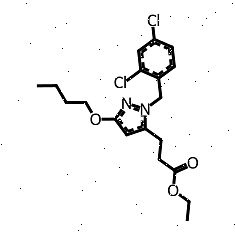 CCCCOc1cc(CCC(=O)OCC)n(Cc2ccc(Cl)cc2Cl)n1